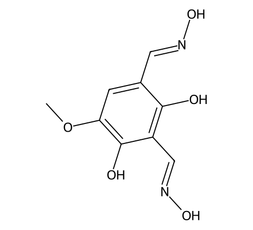 COc1cc(C=NO)c(O)c(C=NO)c1O